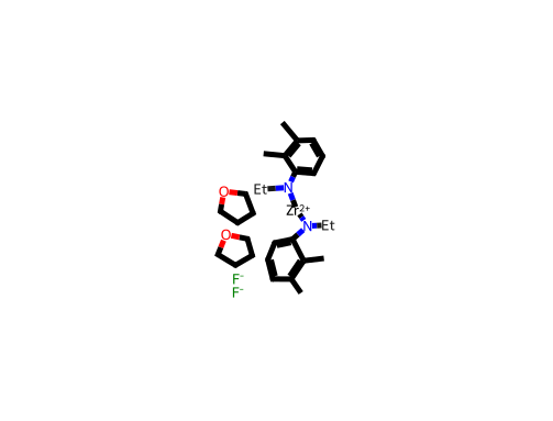 C1CCOC1.C1CCOC1.CC[N]([Zr+2][N](CC)c1cccc(C)c1C)c1cccc(C)c1C.[F-].[F-]